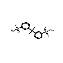 CC(C)(c1cccc(S(=O)(=O)O)c1)c1cccc(S(=O)(=O)O)c1